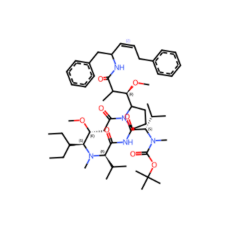 CCC(CC)[C@@H]([C@@H](CC(=O)N1CCCC1[C@H](OC)C(C)C(=O)NC(/C=C\Cc1ccccc1)Cc1ccccc1)OC)N(C)[C@@H](C(=O)NC(=O)[C@H](C(C)C)N(C)C(=O)OC(C)(C)C)C(C)C